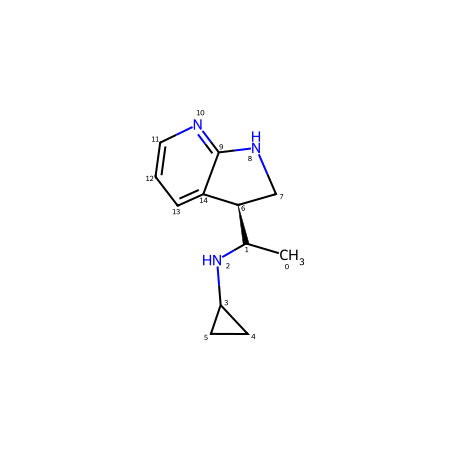 CC(NC1CC1)[C@@H]1CNc2ncccc21